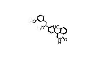 NC(Cc1cccc(O)c1)c1ccc(-c2c[nH]c(=O)c3cccc(O)c23)cc1